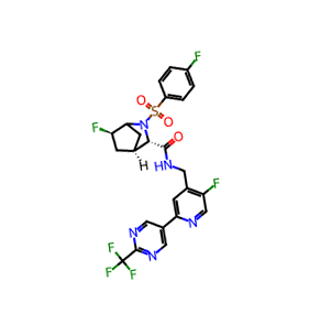 O=C(NCc1cc(-c2cnc(C(F)(F)F)nc2)ncc1F)[C@@H]1[C@@H]2CC([C@H](F)C2)N1S(=O)(=O)c1ccc(F)cc1